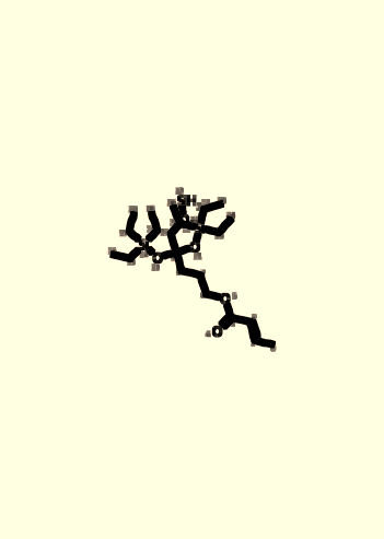 CC=CC(=O)OCCCC(CO[SiH3])(O[Si](CC)(CC)CC)O[Si](CC)(CC)CC